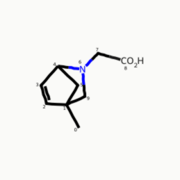 CC12C=CC(C1)N(CC(=O)O)C2